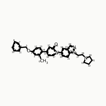 Cc1cc(OCc2ccccc2)ccc1-c1ccn(-c2ccc3c(cnn3CCN3CCCC3)c2)c(=O)c1